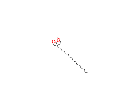 CCCCCCCCCCCCCCCCC(CC)(CC)C(=O)OC